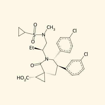 CC[C@@H](CN(C)S(=O)(=O)C1CC1)N1C(=O)[C@@]2(C[C@H](c3cccc(Cl)c3)[C@H]1c1ccc(Cl)cc1)C[C@@H]2C(=O)O